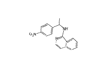 CC(Nc1nccc2ccccc12)c1ccc([N+](=O)[O-])cc1